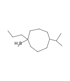 BC1(CCC)CCCC(C(C)C)CCC1